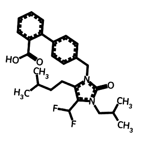 CC(C)CCc1c(C(F)F)n(CC(C)C)c(=O)n1Cc1ccc(-c2ccccc2C(=O)O)cc1